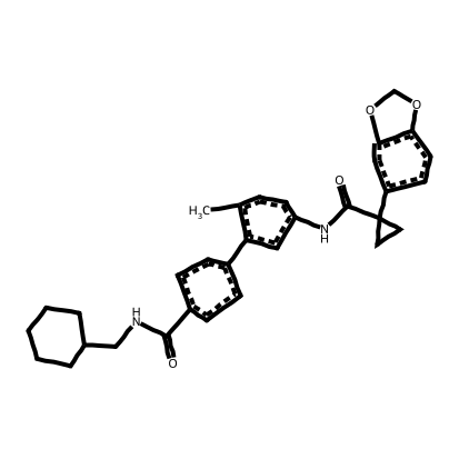 Cc1ccc(NC(=O)C2(c3ccc4c(c3)OCO4)CC2)cc1-c1ccc(C(=O)NCC2CCCCC2)cc1